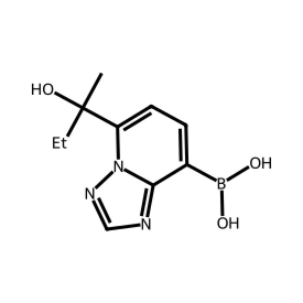 CCC(C)(O)c1ccc(B(O)O)c2ncnn12